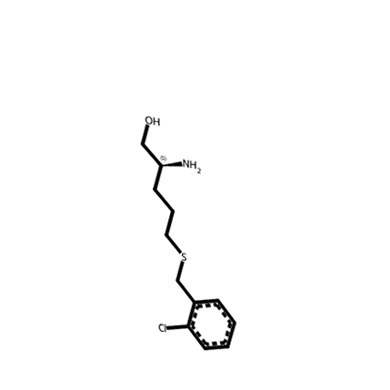 N[C@H](CO)CCCSCc1ccccc1Cl